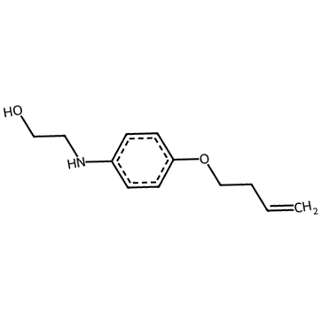 C=CCCOc1ccc(NCCO)cc1